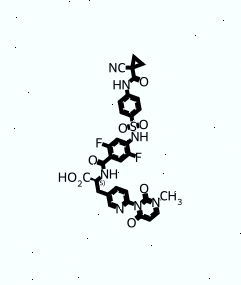 Cn1ccc(=O)n(-c2ccc(C[C@H](NC(=O)c3cc(F)c(NS(=O)(=O)c4ccc(NC(=O)C5(C#N)CC5)cc4)cc3F)C(=O)O)cn2)c1=O